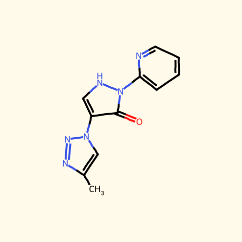 Cc1cn(-c2c[nH]n(-c3ccccn3)c2=O)nn1